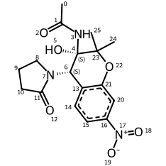 CC(=O)N[C@]1(O)[C@@H](N2CCCC2=O)c2ccc([N+](=O)[O-])cc2OC1(C)C